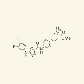 COC(=O)C1(C)CCN(c2ccc(NC(=O)c3nnc(Nc4ccc(F)c(F)c4)o3)cn2)CC1